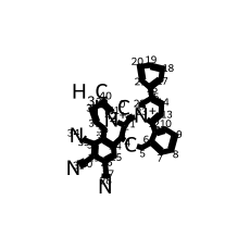 C=C1C2C(CCc3ccccc3-c3ccc(-c4ccccc4)c[n+]31)c1cc(C#N)c(C#N)c(C#N)c1-c1ccc(C)c[n+]12